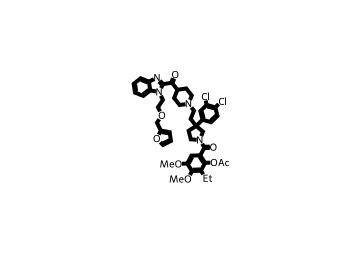 CCc1c(OC)c(OC)cc(C(=O)N2CCC(CCN3CCC(C(=O)c4nc5ccccc5n4CCOCc4ccco4)CC3)(c3ccc(Cl)c(Cl)c3)C2)c1OC(C)=O